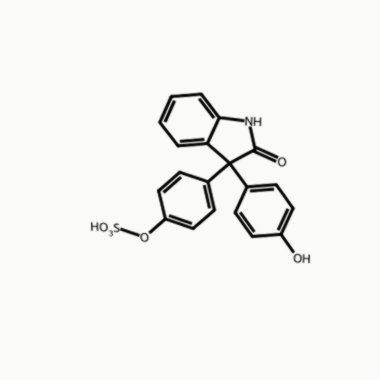 O=C1Nc2ccccc2C1(c1ccc(O)cc1)c1ccc(OS(=O)(=O)O)cc1